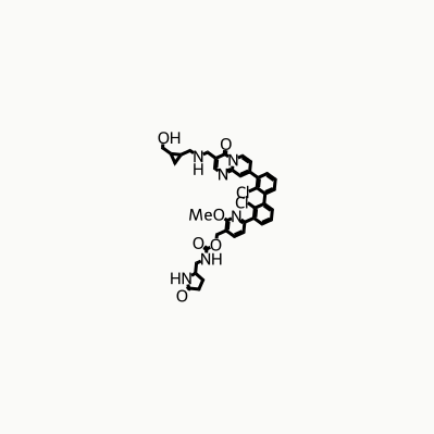 COc1nc(-c2cccc(-c3cccc(-c4ccn5c(=O)c(CNCC6CC6CO)cnc5c4)c3Cl)c2Cl)ccc1COC(=O)NCC1CCC(=O)N1